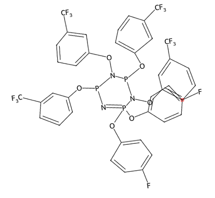 Fc1ccc(OP2(Oc3ccc(F)cc3)=NP(Oc3cccc(C(F)(F)F)c3)N(Oc3cccc(C(F)(F)F)c3)P(Oc3cccc(C(F)(F)F)c3)N2Oc2cccc(C(F)(F)F)c2)cc1